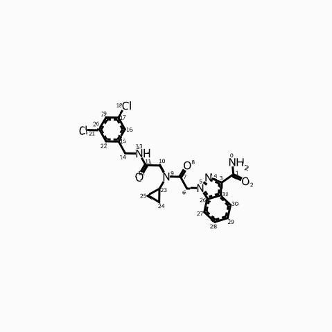 NC(=O)c1nn(CC(=O)N(CC(=O)NCc2cc(Cl)cc(Cl)c2)C2CC2)c2ccccc12